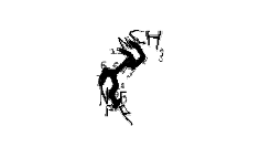 Cc1ccc(-c2ccnc(C(F)(F)F)c2)cn1